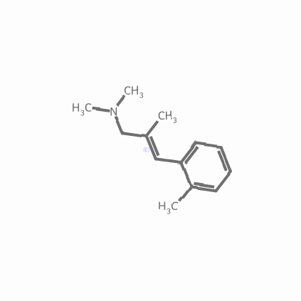 C/C(=C\c1ccccc1C)CN(C)C